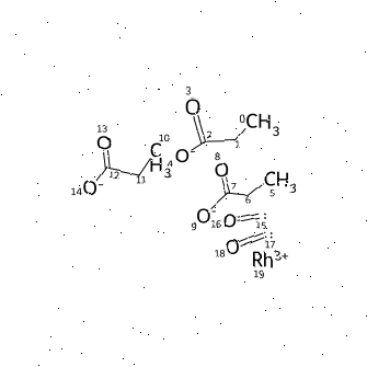 CCC(=O)[O-].CCC(=O)[O-].CCC(=O)[O-].[C]=O.[C]=O.[Rh+3]